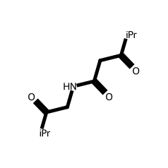 CC(C)C(=O)CNC(=O)CC(=O)C(C)C